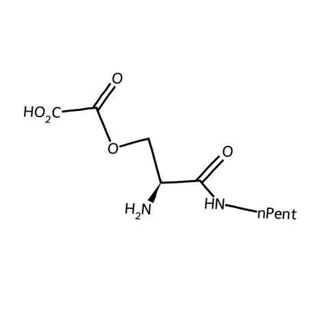 CCCCCNC(=O)[C@@H](N)COC(=O)C(=O)O